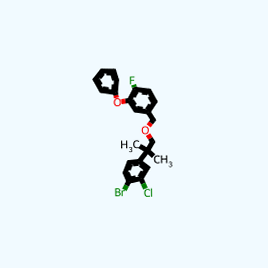 CC(C)(COCc1ccc(F)c(Oc2ccccc2)c1)c1ccc(Br)c(Cl)c1